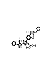 O=C(O)O.O[C@H]1c2ccc(-c3noc(-c4onc(-c5ccccc5)c4C(F)(F)F)n3)cc2OC[C@H]1NCC1CCCC1